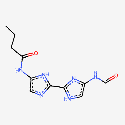 CCCC(=O)Nc1cnc(-c2nc(NC=O)c[nH]2)[nH]1